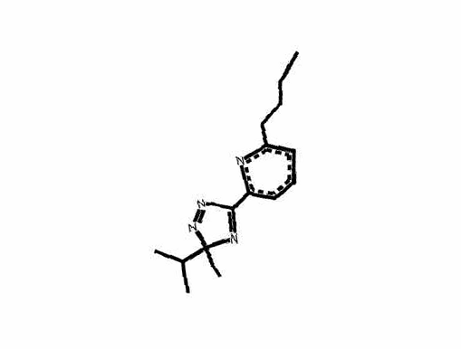 CCCCc1cccc(C2=NC(C)(C(C)C)N=N2)n1